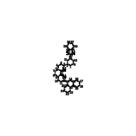 c1cc(-c2ccc3ccc4ccc(-c5cc6ccccc6c6ccccc56)nc4c3n2)cc(-c2nc3ccccc3s2)c1